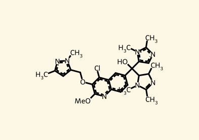 COc1nc2ccc(C(O)(c3cnc(C)n3C)C3C(C)N=C(C)N3C)cc2c(Cl)c1OCc1cc(C)nn1C